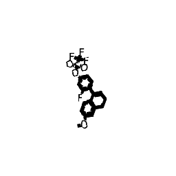 COc1ccc2c(c1)CCC=C2c1ccc(OS(=O)(=O)C(F)(F)F)cc1F